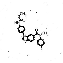 COC(=O)Nc1ccc(-n2cnc3cnc(C(=O)N(C)c4ccc(F)cc4)cc32)cn1